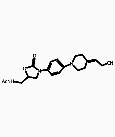 CC(=O)NCC1CN(c2ccc(N3CCC(=CCC#N)CC3)cc2)C(=O)O1